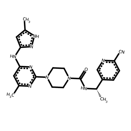 Cc1cc(Nc2cc(C)[nH]n2)nc(N2CCN(C(=O)N[C@@H](C)c3ccc(C#N)nc3)CC2)n1